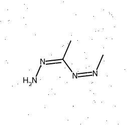 C/N=N\C(C)=N/N